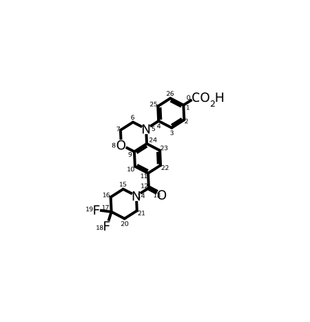 O=C(O)c1ccc(N2CCOc3cc(C(=O)N4CCC(F)(F)CC4)ccc32)cc1